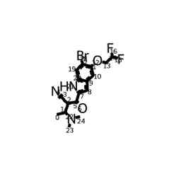 CC(C(C#N)C(=O)c1cc2cc(OCC(F)F)c(Br)cc2[nH]1)N(C)C